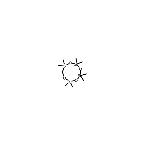 C[Si]1(C)CO[Si](C)(C)O[Si](C)(C)O[Si](C)(C)O1